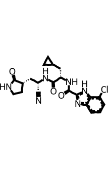 N#C[C@H](C[C@@H]1CCNC1=O)NC(=O)[C@H](CC1CC1)NC(=O)c1nc2cccc(Cl)c2[nH]1